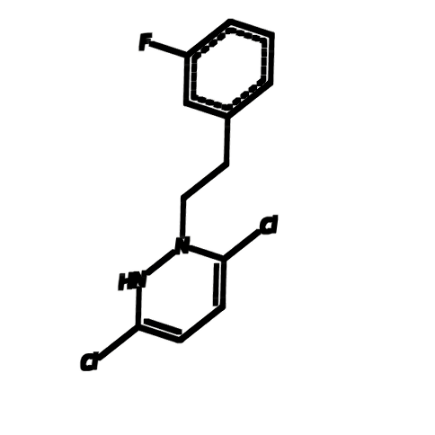 Fc1cccc(CCN2NC(Cl)=CC=C2Cl)c1